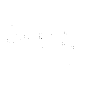 CC(n1cnnc1-c1nc(NC(=O)c2cc(-n3cnc(C4CC4)c3)c(N3CCCOCC3)cn2)cs1)C(F)(F)F